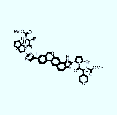 CC[C@H]1CC[C@@H](c2nc3ccc4cc5c(cc4c3[nH]2)OCc2cc(-c3cnc([C@@H]4C[C@@H]6CCC[C@@H]6N4C(=O)[C@@H](NC(=O)OC)C(C)C)[nH]3)ccc2-5)N1C(=O)[C@@H](NC(=O)OC)C1CCOCC1